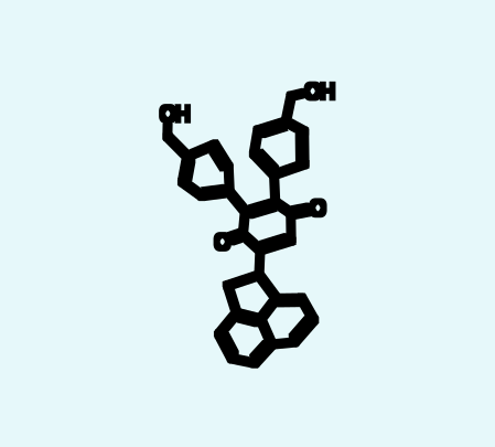 O=C1C=C(C2Cc3cccc4cccc2c34)C(=O)C(c2ccc(CO)cc2)=C1c1ccc(CO)cc1